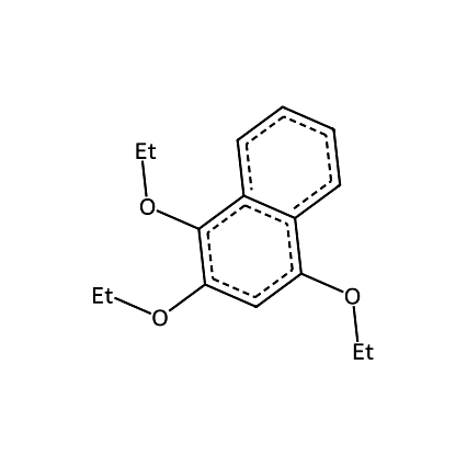 CCOc1cc(OCC)c2ccccc2c1OCC